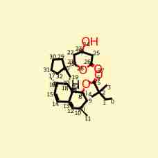 CCC(C)(C)C(=O)O[C@H]1C[C@@H](C)C=C2C=C[C@H](C)[C@H](CC3([C@@H]4C[C@@H](O)CC(=O)O4)CCCC3)[C@H]21